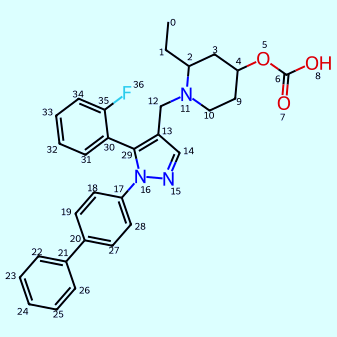 CCC1CC(OC(=O)O)CCN1Cc1cnn(-c2ccc(-c3ccccc3)cc2)c1-c1ccccc1F